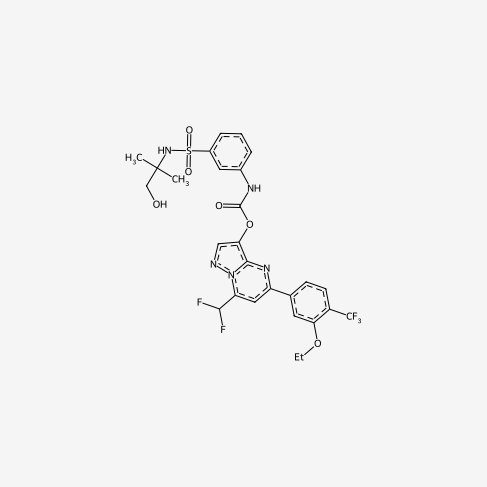 CCOc1cc(-c2cc(C(F)F)n3ncc(OC(=O)Nc4cccc(S(=O)(=O)NC(C)(C)CO)c4)c3n2)ccc1C(F)(F)F